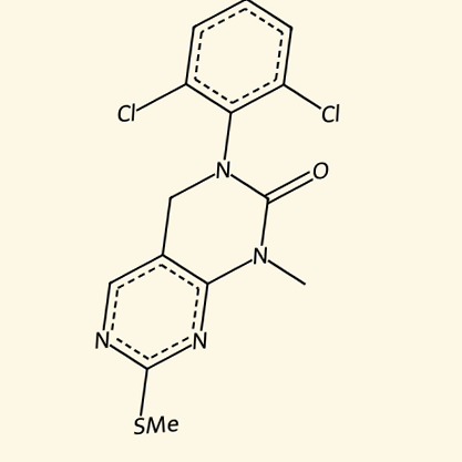 CSc1ncc2c(n1)N(C)C(=O)N(c1c(Cl)cccc1Cl)C2